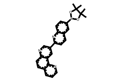 CC1(C)OB(c2ccc3nc(-c4cnc5ccc6cccnc6c5c4)ccc3c2)OC1(C)C